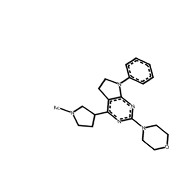 CC(=O)N1CCC(c2nc(N3CCOCC3)nc3c2CCN3c2ccccc2)C1